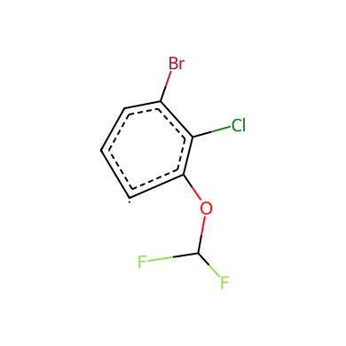 FC(F)Oc1[c]ccc(Br)c1Cl